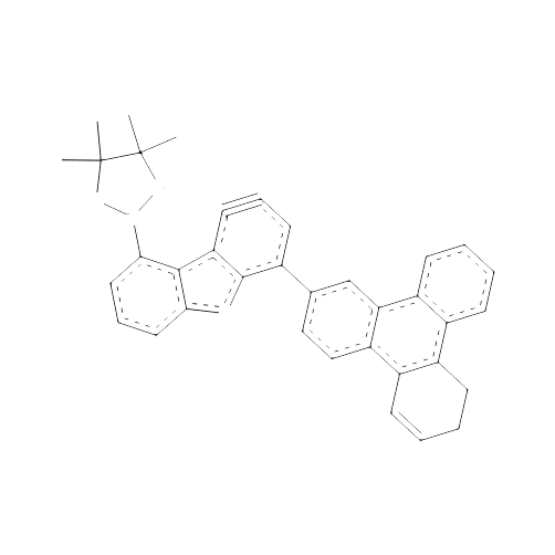 CC1(C)OB(c2cccc3oc4c(-c5ccc6c7c(c8ccccc8c6c5)CCC=C7)cc#cc4c23)OC1(C)C